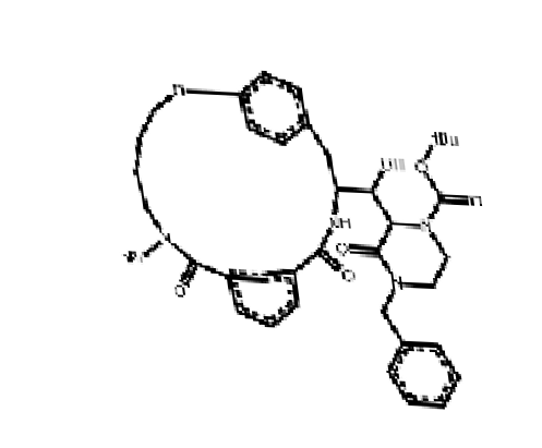 CCCN1CCCCOc2ccc(cc2)CC(C(O)C2C(=O)N(Cc3ccccc3)CCN2C(=O)OC(C)(C)C)NC(=O)c2cccc(c2)C1=O